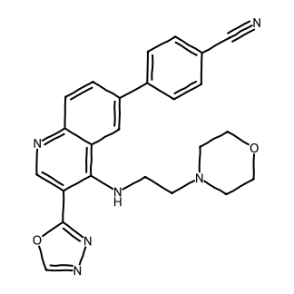 N#Cc1ccc(-c2ccc3ncc(-c4nnco4)c(NCCN4CCOCC4)c3c2)cc1